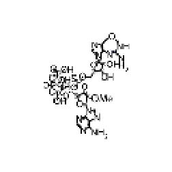 CO[C@@H]1[C@H](OP(O)(=S)OC[C@H]2O[C@@H](n3cnc4c3/N=C(/N)NCOC4)[C@H](O)[C@@H]2O)[C@@H](COP(=O)(O)OP(=O)(O)OP(=O)(O)O)O[C@H]1n1cnc2c(N)ncnc21